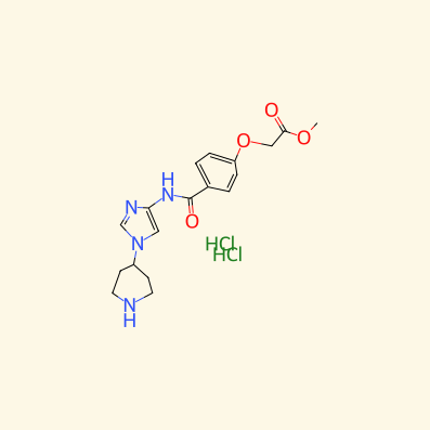 COC(=O)COc1ccc(C(=O)Nc2cn(C3CCNCC3)cn2)cc1.Cl.Cl